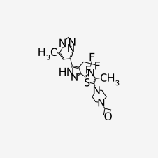 Cc1nc(-c2n[nH]c(-c3cc(C)c4ncnn4c3)c2CC(F)(F)F)sc1N1CCN(C2COC2)CC1